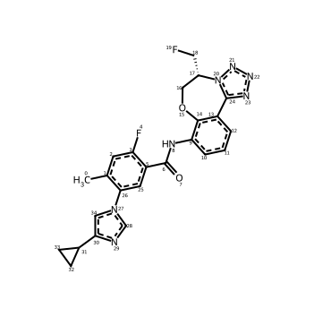 Cc1cc(F)c(C(=O)Nc2cccc3c2OC[C@H](CF)n2nnnc2-3)cc1-n1cnc(C2CC2)c1